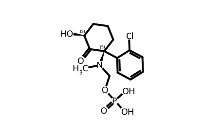 CN(COP(=O)(O)O)[C@]1(c2ccccc2Cl)CCC[C@H](O)C1=O